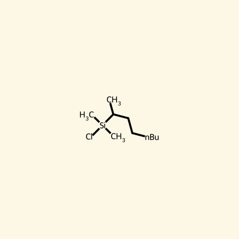 CCCCCCC(C)[Si](C)(C)Cl